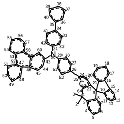 CC1(C)c2ccccc2C2(c3ccccc3-c3ccccc32)c2ccc(-c3ccc(N(c4ccc(-c5ccccc5)cc4)c4ccc5c6ccccc6c6ccccc6c5c4)cc3)cc21